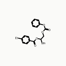 CCCC(COC(=O)Oc1ccccc1)OC(=O)c1ccc(CC)cc1